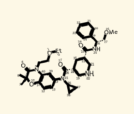 CCOCCN1C(=O)C(C)(C)Oc2ccc(N(C(=O)[C@H]3CNC[C@@H](C(=O)N[C@@H](COC)c4ccccc4)C3)C3CC3)cc21